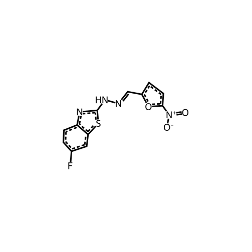 O=[N+]([O-])c1ccc(C=NNc2nc3ccc(F)cc3s2)o1